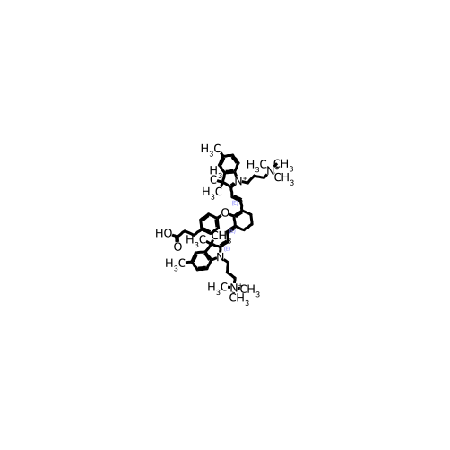 Cc1ccc2c(c1)C(C)(C)C(/C=C/C1=C(Oc3ccc(CCC(=O)O)cc3)C(=C/C=C3/N(CCC[N+](C)(C)C)c4ccc(C)cc4C3(C)C)/CCC1)=[N+]2CCC[N+](C)(C)C